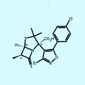 CCc1noc(-c2ccc(Cl)cc2)c1[C@@]1(C(=O)O)N2C(=S)[C@@H](C)[C@H]2SC1(C)C